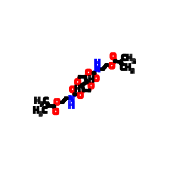 C=C(C)C(=O)OCCNC(=O)O[C@H]1CO[C@H]2[C@@H]1OC[C@H]2OC(=O)NCCOC(=O)C(=C)C